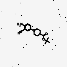 CC(C)(C)OC(=O)N1CCN(c2ccc(N)c(C#N)c2)CC1